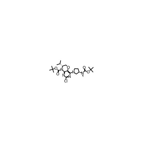 CC(C)[C@@H]1COc2c(N3CC[C@@H](N(C)C(=O)OC(C)(C)C)C3)nc(Cl)nc2N1C(=O)OC(C)(C)C